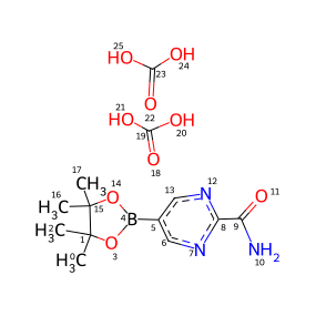 CC1(C)OB(c2cnc(C(N)=O)nc2)OC1(C)C.O=C(O)O.O=C(O)O